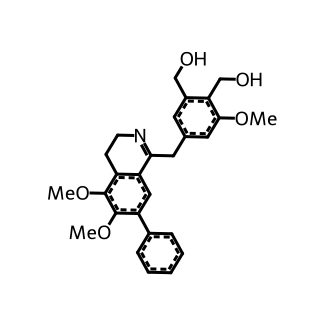 COc1cc(CC2=NCCc3c2cc(-c2ccccc2)c(OC)c3OC)cc(CO)c1CO